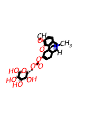 COc1ccc2c3c1OC1C(OC(=O)OC[C@H]4O[C@H](O)[C@H](O)[C@@H](O)[C@H]4O)=CCC4[C@@H](C2)N(C)CC[C@]314